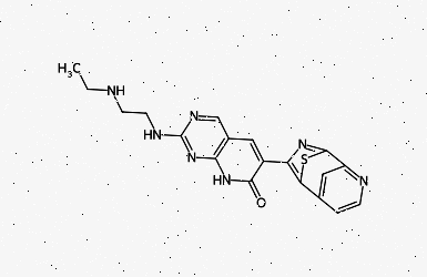 CCNCCNc1ncc2cc(-c3nc4sc3-c3ccnc-4c3)c(=O)[nH]c2n1